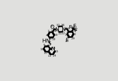 O=C(c1ccc(NSc2cccc3cccnc23)cc1)N1CCN(Cc2cc(F)ccc2C(F)(F)F)CC1